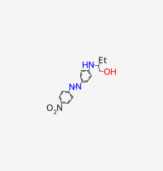 CCC(CO)Nc1ccc(/N=N/c2ccc([N+](=O)[O-])cc2)cc1